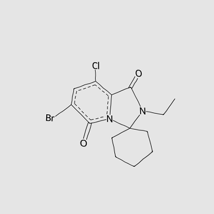 CCN1C(=O)c2c(Cl)cc(Br)c(=O)n2C12CCCCC2